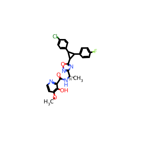 COc1ccnc(C(=O)N[C@@H](C)c2noc(C3C(c4ccc(F)cc4)C3c3ccc(Cl)cc3)n2)c1O